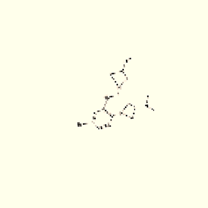 COC1CN(SNc2cc(Br)cnc2N2CC(N(C)C)C2)C1